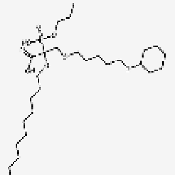 CCCCCCCCCCOC(CSCCCCCSC1CCCCC1)(C(=O)O)P(=O)(O)OCCC